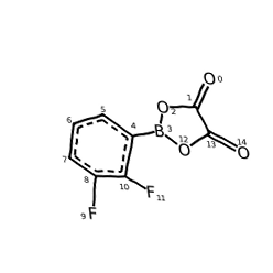 O=C1OB(c2cccc(F)c2F)OC1=O